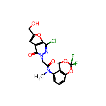 CN(C(=O)Cn1nc(Cl)c2oc(CO)cc2c1=O)c1cccc2c1[CH]OC(F)(F)O2